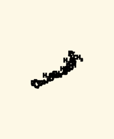 CCCCC/C=C\C/C=C\CCCCCCCCOC[C@@H](COCCCCOC1CC[C@@]2(C)C(=CC[C@H]3[C@@H]4CC[C@H]([C@H](C)CCCC(C)C)[C@@]4(C)CC[C@@H]32)C1)N(C)C